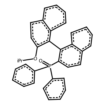 CC(C)Oc1ccc2ccccc2c1-c1c(P(=O)(c2ccccc2)c2ccccc2)ccc2ccccc12